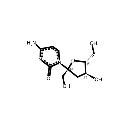 Nc1ccn([C@@]2(CO)C[C@H](O)[C@@H](CO)O2)c(=O)n1